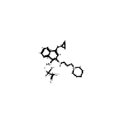 N#Cc1c(NCCCN2CCCCC2)cc(CC2CC2)c2ccccc12.O=C(O)C(F)(F)F